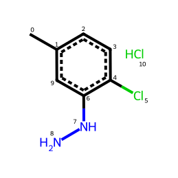 Cc1ccc(Cl)c(NN)c1.Cl